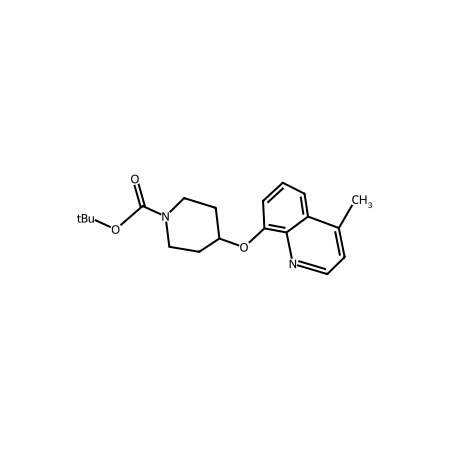 Cc1ccnc2c(OC3CCN(C(=O)OC(C)(C)C)CC3)cccc12